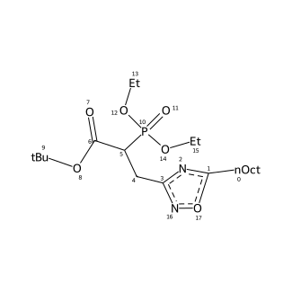 CCCCCCCCc1nc(CC(C(=O)OC(C)(C)C)P(=O)(OCC)OCC)no1